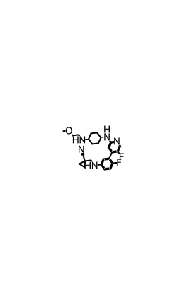 COCCN[C@H]1CC[C@H](Nc2cc(-c3cc(NCC4(C#N)CC4)ccc3F)c(F)cn2)CC1